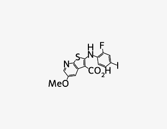 COc1cnc2sc(Nc3ccc(I)cc3F)c(C(=O)O)c2c1